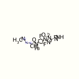 C\N=C/C=C\C=C(/C)C(=O)Nc1cc(F)c(N2C(=O)C3(CC3)n3c(-c4cc[nH]n4)cnc32)c(F)c1